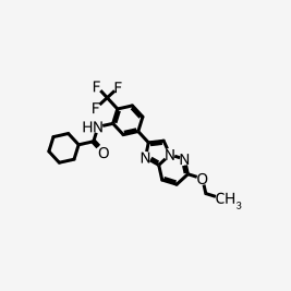 CCOc1ccc2nc(-c3ccc(C(F)(F)F)c(NC(=O)C4CCCCC4)c3)cn2n1